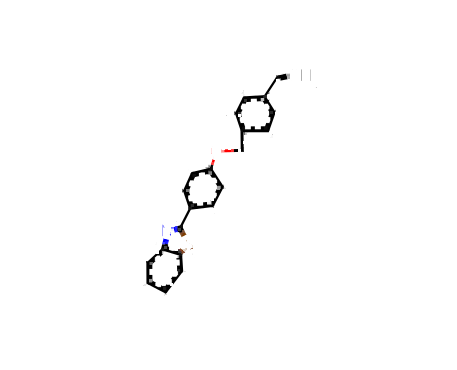 C=Cc1ccc(COc2ccc(-c3nc4ccccc4s3)cc2)cc1